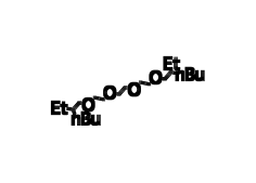 CCCCC(CC)COCCOCCOCCOCC(CC)CCCC